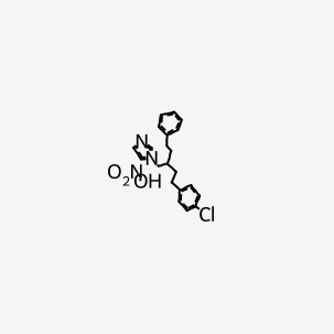 Clc1ccc(CCC(CCc2ccccc2)Cn2ccnc2)cc1.O=[N+]([O-])O